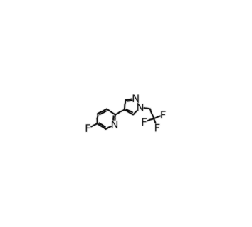 Fc1ccc(-c2cnn(CC(F)(F)F)c2)nc1